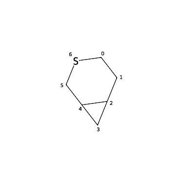 C1CC2CC2CS1